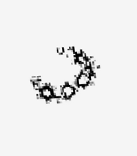 C[C@]1(CN2CCN(C3CCN(Cc4ccc(OC(F)(F)F)cc4)CC3)CC2)Cn2cc([N+](=O)[O-])nc2O1